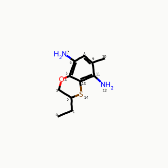 CCC1COc2c(N)cc(C)c(N)c2S1